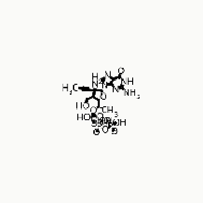 CC#CC1(N)C(CO)[C@@H]([C@H](C)OP(=O)(O)OP(=O)(O)OP(=O)(O)O)O[C@H]1n1cnc2c(=O)[nH]c(N)nc21